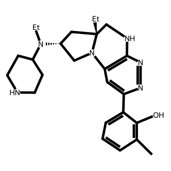 CCN(C1CCNCC1)[C@H]1CN2c3cc(-c4cccc(C)c4O)nnc3NC[C@@]2(CC)C1